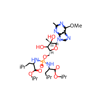 COc1nc(C)nc2c1ncn2[C@@H]1O[C@H](COP(=O)(NC(CC(C)C)C(=O)OC(C)C)NC(CC(C)C)C(=O)OC(C)C)C(O)[C@]1(C)O